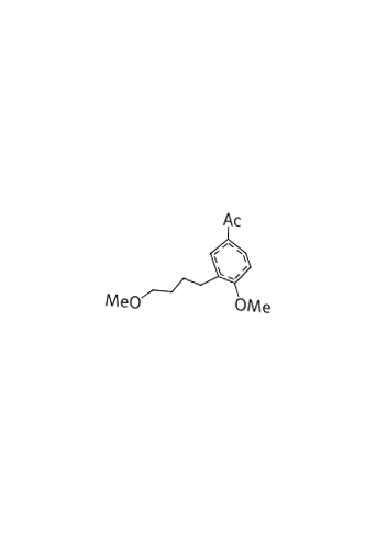 COCCCCc1cc(C(C)=O)ccc1OC